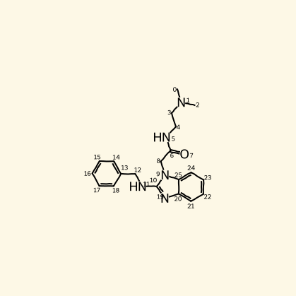 CN(C)CCNC(=O)Cn1c(NCc2ccccc2)nc2ccccc21